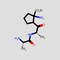 CCOC(=O)C1(N)CCCC1C(=O)[C@H](C)NC(=O)[C@H](C)N